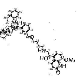 COc1ccc([C@@H](O)CNCCCCOCc2cccc(C(=O)NC3(C(=O)O[C@H]4CN5CCC4CC5)CCc4ccccc43)c2)c2ccc(=O)[nH]c12